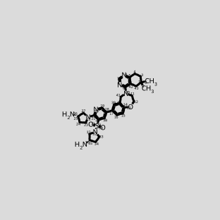 CC1(C)CCc2ncnc(N3CCOc4ccc(-c5cnc(N6CC[C@H](N)C6)c(S(=O)(=O)N6CC[C@H](N)C6)c5)cc4C3)c2C1